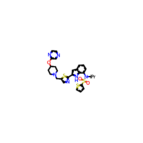 CC(C)N(c1cccc2cc(-c3ncc(CN4CCC(Oc5cnccn5)CC4)s3)[nH]c12)S(=O)(=O)c1cccs1